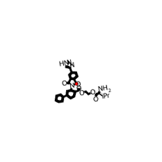 CC(C)[C@H](N)C(=O)OCCOC(=O)c1ccc(-c2ccccc2)cc1N1C(=O)c2ccc(-c3c[nH]nn3)cc2C1=O